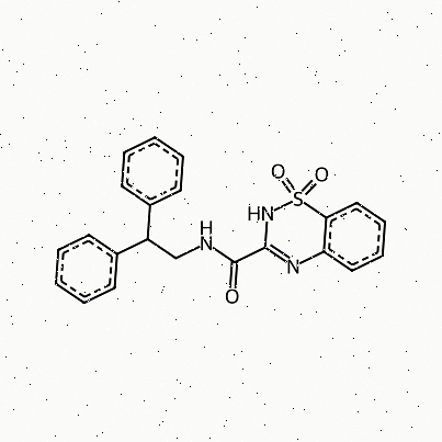 O=C(NCC(c1ccccc1)c1ccccc1)C1=Nc2ccccc2S(=O)(=O)N1